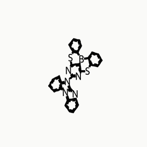 c1ccc2c(c1)Sc1nc(-n3c4ccccc4n4c5ccccc5nc34)nc3c1B2c1ccccc1S3